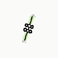 FC(F)(F)C(F)(F)C(F)(F)C(F)(F)C(F)(F)C(F)(F)C1c2ccccc2C(C2c3ccccc3C(C(F)(F)C(F)(F)C(F)(F)C(F)(F)C(F)(F)C(F)(F)F)c3ccccc32)c2ccccc21